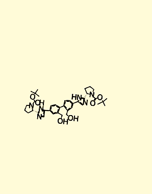 CC(C)(C)OC(=O)N1CCC[C@H]1c1ncc(-c2ccc(-c3ccc(-c4cnc([C@@H]5CCCN5C(=O)OC(C)(C)C)[nH]4)cc3CO)c(CO)c2)[nH]1